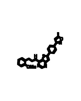 COc1ccccc1CCNc1ncnc2cc(-c3ccc(-c4cc(C)on4)cc3)sc12